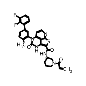 C=CC(=O)N1CCC[C@@H](NC(=O)c2sc3nccc4c3c2NC(=O)N4c2cc(-c3cccc(F)c3F)ccc2C)C1